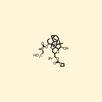 CC(C)[C@@H](OC(=O)N1CCC1)C1C[C@@H](C)[C@H]2C(O1)[C@H](O)C(C)(C)[C@]2(C)CC[C@]12CCC[C@H]3C(C)(C)[C@@H](OC(=O)N(C)CC(=O)O)CC[C@@]31C2